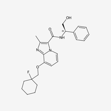 Cc1nc2c(OCC3(F)CCCCC3)cccn2c1C(=O)N[C@@H](CO)c1ccccc1